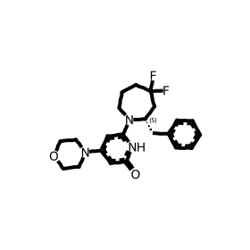 O=c1cc(N2CCOCC2)cc(N2CCCC(F)(F)C[C@@H]2Cc2ccccc2)[nH]1